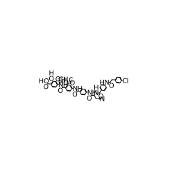 COc1c(NC(=O)c2ccc(NC(=O)c3ccc(NC(=O)C(CC#N)NC(=O)c4ccc(NC(=O)Cc5ccc(Cl)cc5)cc4)cc3)c(OC)c2O)ccc(C(=O)O)c1O